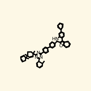 CC1C=CC=CC1c1nc(-c2ccc(-c3ccc(C4Nc5cc(-c6ccccc6)ccc5-c5c4oc4ccccc54)cc3)cc2)nc(C2(C)C=CC(C)(C3(C)C=CC=CC3)CC2)n1